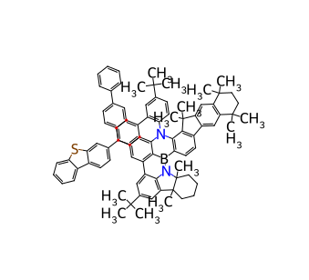 CC(C)(C)c1ccc(N2c3cc(C(c4ccc(-c5ccccc5)cc4)c4ccc5c(c4)sc4ccccc45)cc4c3B(c3ccc5c(c32)C(C)(C)c2cc3c(cc2-5)C(C)(C)CCC3(C)C)N2c3c-4cc(C(C)(C)C)cc3C3(C)CCCCC23C)c(-c2ccccc2)c1